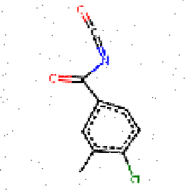 Cc1cc(C(=O)N=C=O)ccc1Cl